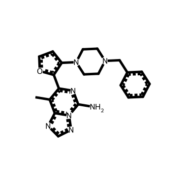 Cc1c(-c2occc2N2CCN(Cc3ccccc3)CC2)nc(N)n2ncnc12